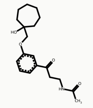 CC(=O)NCCC(=O)c1cccc(OCC2(O)CCCCCC2)c1